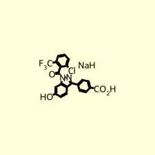 O=C(O)c1ccc(-c2nn(C(=O)c3c(Cl)cccc3C(F)(F)F)c3cc(O)ccc23)cc1.[NaH]